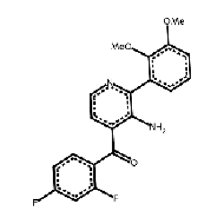 COc1cccc(-c2nccc(C(=O)c3ccc(F)cc3F)c2N)c1OC